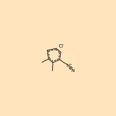 Cc1cccc([N+]#N)c1C.[Cl-]